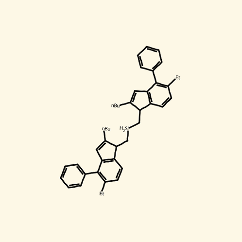 CCCCC1=Cc2c(ccc(CC)c2-c2ccccc2)C1C[SiH2]CC1C(CCCC)=Cc2c1ccc(CC)c2-c1ccccc1